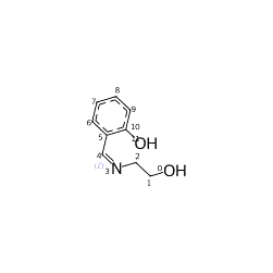 OCC/N=C\c1ccccc1O